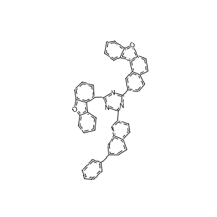 c1ccc(-c2ccc3ccc(-c4nc(-c5ccc6ccc7oc8ccccc8c7c6c5)nc(-c5cccc6oc7ccccc7c56)n4)cc3c2)cc1